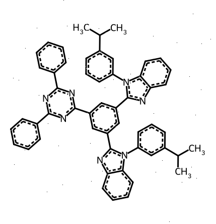 CC(C)c1cccc(-n2c(-c3cc(-c4nc(-c5ccccc5)nc(-c5ccccc5)n4)cc(-c4nc5ccccc5n4-c4cccc(C(C)C)c4)c3)nc3ccccc32)c1